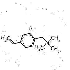 C=Cc1ccc(C[N+](C)(C)C)cc1.[Br-]